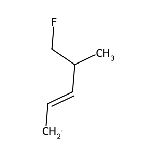 [CH2]C=CC(C)CF